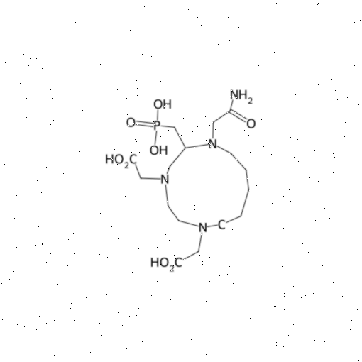 NC(=O)CN1CCCCCN(CC(=O)O)CCN(CC(=O)O)CC1CP(=O)(O)O